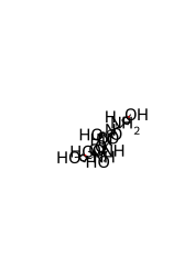 N[C@@H](Cc1ccc(O)cc1)C(=O)N[C@@H](CC(=O)O)C(=O)NCC(=O)N[C@@H](CO)C(=O)N[C@@H](Cc1ccc(O)cc1)C(=O)O